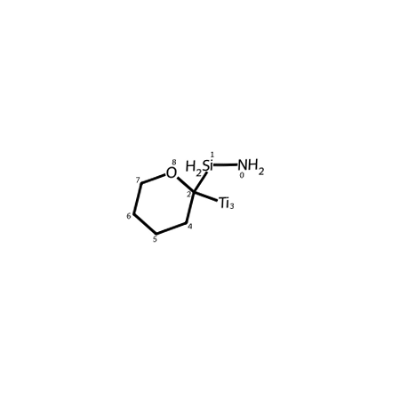 N[SiH2][C]1([Ti])CCCCO1